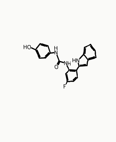 O=C(Nc1ccc(O)cc1)Nc1cc(F)ccc1-c1cc2ccccc2[nH]1